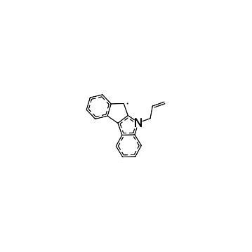 C=CCn1c2c(c3ccccc31)-c1ccccc1[CH]2